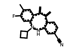 C=c1c(=C)c2cc(C)c(F)cc2n(C2CCC2)[nH]c2cc(C#N)ccc12